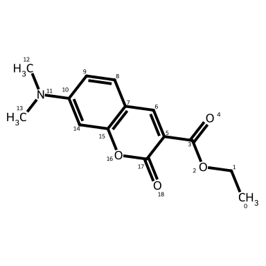 CCOC(=O)c1cc2ccc(N(C)C)cc2oc1=O